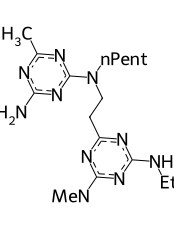 CCCCCN(CCc1nc(NC)nc(NCC)n1)c1nc(C)nc(N)n1